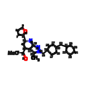 COC(=O)c1cc(-c2ccco2)nc2nn(Cc3ccc(Cc4ccccc4)cc3)c(C)c12